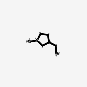 OCC1CCN(O)C1